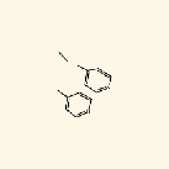 CC.Cc1ccncc1.Cc1ccncc1